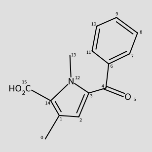 Cc1cc(C(=O)c2ccccc2)n(C)c1C(=O)O